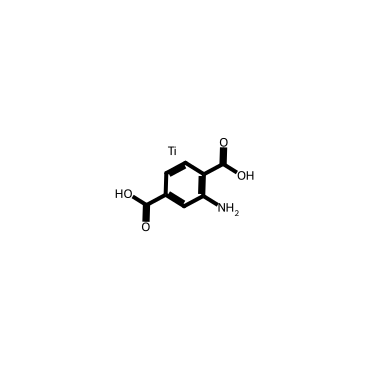 Nc1cc(C(=O)O)ccc1C(=O)O.[Ti]